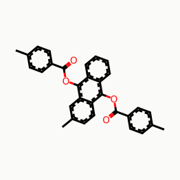 Cc1ccc(C(=O)Oc2c3ccccc3c(OC(=O)c3ccc(C)cc3)c3cc(C)ccc23)cc1